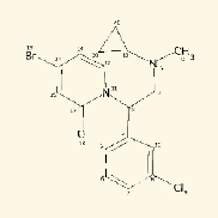 CN(CC(c1cccc(Cl)c1)n1ccc(Br)cc1=O)C1CC1